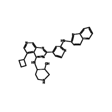 OC1CNCCC1Nc1nc(-c2ccnc(Nc3ccc4ccccc4n3)c2)nc2cncc(C3CCC3)c12